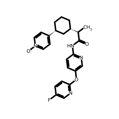 CC(C(=O)Nc1ccc(Oc2ccc(F)cn2)cn1)[C@H]1CCC[C@@H](c2cc[n+]([O-])cc2)C1